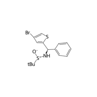 CC(C)(C)[S+]([O-])N[C@H](c1ccccc1)c1cc(Br)cs1